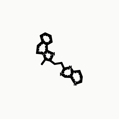 Cc1c(CCc2ncc3ncccc3n2)nc2c3ccccc3ccn12